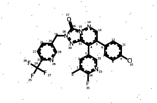 Cc1cc(-c2c(-c3ccc(Cl)cc3)cnn3c(=O)n(Cc4ccc(C(F)(F)F)nc4)nc23)cnc1F